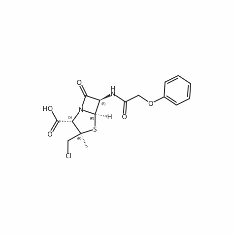 C[C@@]1(CCl)S[C@@H]2[C@H](NC(=O)COc3ccccc3)C(=O)N2[C@H]1C(=O)O